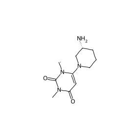 [CH2]n1c(N2CCC[C@@H](N)C2)cc(=O)n(C)c1=O